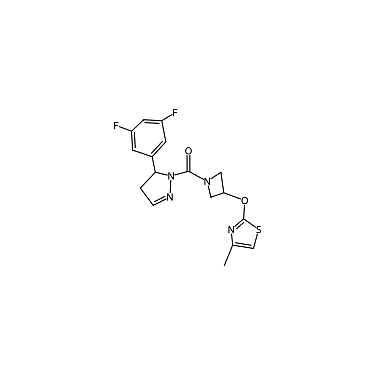 Cc1csc(OC2CN(C(=O)N3N=CCC3c3cc(F)cc(F)c3)C2)n1